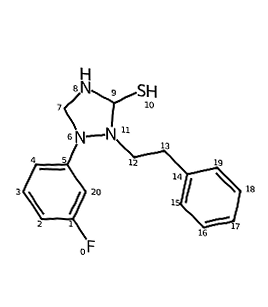 Fc1cccc(N2CNC(S)N2CCc2ccccc2)c1